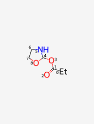 CCC(=O)OC1NCCO1